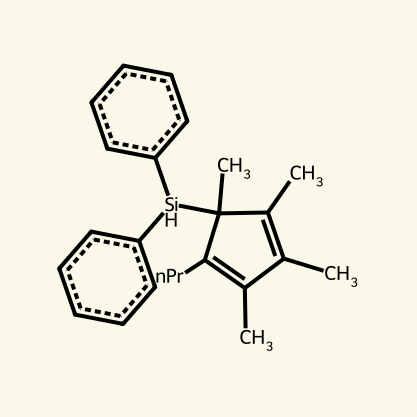 CCCC1=C(C)C(C)=C(C)C1(C)[SiH](c1ccccc1)c1ccccc1